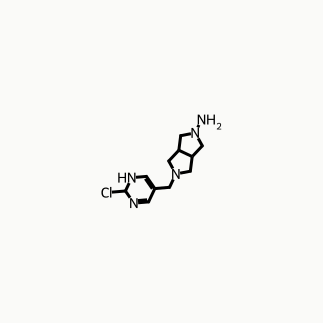 NN1CC2CN(CC3=CNC(Cl)N=C3)CC2C1